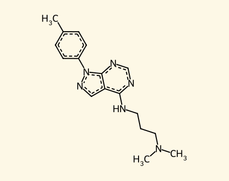 Cc1ccc(-n2ncc3c(NCCCN(C)C)ncnc32)cc1